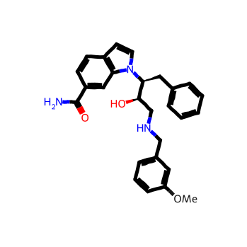 COc1cccc(CNC[C@@H](O)[C@H](Cc2ccccc2)n2ccc3ccc(C(N)=O)cc32)c1